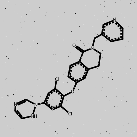 O=C1c2ccc(Oc3c(Cl)cc(N4C=NC=CN4)cc3Cl)cc2CCN1Cc1cccnc1